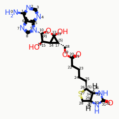 Nc1ncnc2c1ncn2[C@@H]1OC2(O)C(C1O)[C@H]2COC(=O)CCCC[C@@H]1SC[C@@H]2NC(=O)N[C@@H]21